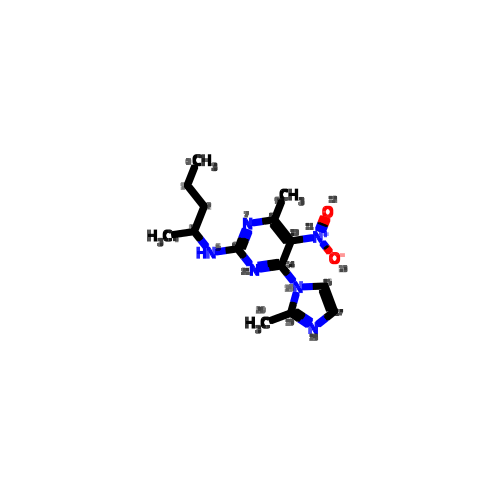 CCCC(C)Nc1nc(C)c([N+](=O)[O-])c(-n2ccnc2C)n1